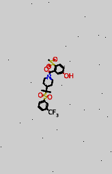 CC(C)(C1CCN(C(=O)c2cc(O)ccc2S(C)(=O)=O)CC1)S(=O)(=O)c1cccc(C(F)(F)F)c1